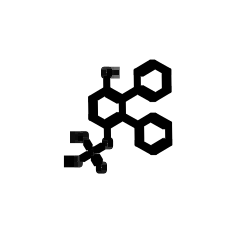 O=P(O)(O)Oc1ccc(O)c(-c2ccccc2)c1-c1ccccc1